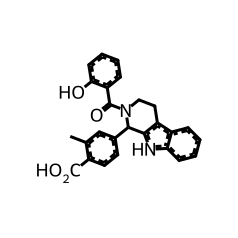 Cc1cc(C2c3[nH]c4ccccc4c3CCN2C(=O)c2ccccc2O)ccc1C(=O)O